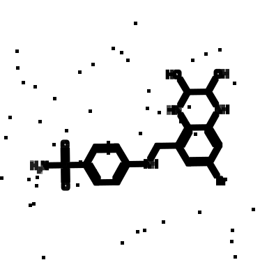 NS(=O)(=O)c1ccc(NCc2cc(Br)cc3c2NC(O)C(O)N3)cc1